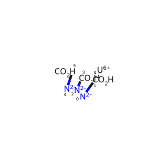 [N-2]C(=O)O.[N-2]C(=O)O.[N-2]C(=O)O.[U+6]